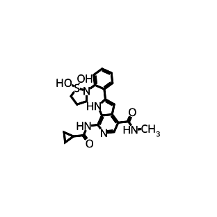 CNC(=O)c1cnc(NC(=O)C2CC2)c2[nH]c(-c3ccccc3N3CCCS3(O)O)cc12